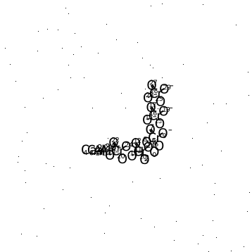 O.[Al+3].[Al+3].[Ca+2].[Ca+2].[O]=[Cr](=[O])([O-])[O-].[O]=[Cr](=[O])([O-])[O-].[O]=[Cr](=[O])([O-])[O-].[O]=[Cr](=[O])([O-])[O-].[O]=[Cr](=[O])([O-])[O-]